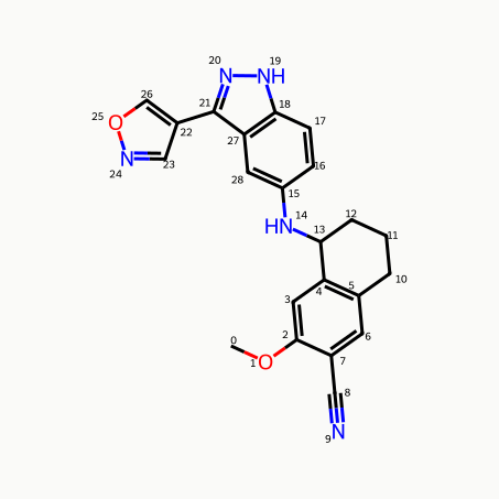 COc1cc2c(cc1C#N)CCCC2Nc1ccc2[nH]nc(-c3cnoc3)c2c1